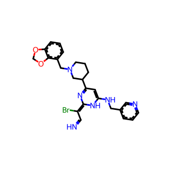 N=C/C(Br)=C1/N=C(C2CCCN(Cc3cccc4c3OCO4)C2)C=C(NCc2cccnc2)N1